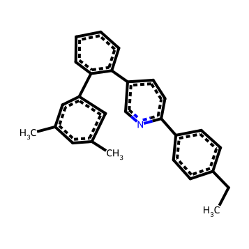 CCc1ccc(-c2ccc(-c3ccccc3-c3cc(C)cc(C)c3)cn2)cc1